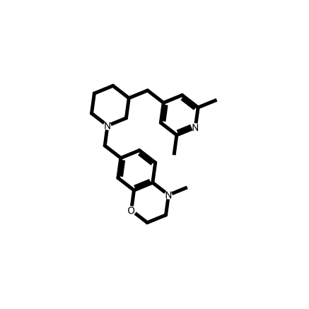 Cc1cc(CC2CCCN(Cc3ccc4c(c3)OCCN4C)C2)cc(C)n1